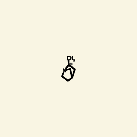 C[C@H]1CC2CCN1C2